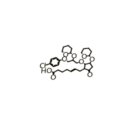 O=C(O)CCCC=CCC1C(=O)CC(OC2CCCCO2)C1OCC(COc1ccc(Cl)cc1)OC1CCCCO1